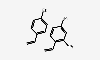 C=Cc1ccc(C(C)C)cc1C(C)C.C=Cc1ccc(CC)cc1